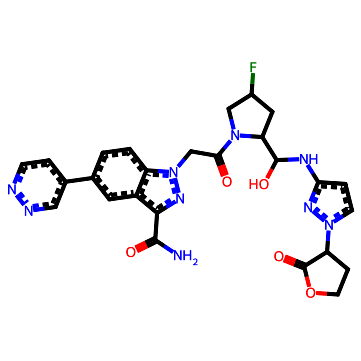 NC(=O)c1nn(CC(=O)N2CC(F)CC2C(O)Nc2ccn(C3CCOC3=O)n2)c2ccc(-c3ccnnc3)cc12